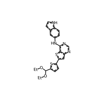 CCOC(OCC)c1ccc(-c2cc3ncnc(Nc4ccc5[nH]ccc5c4)c3s2)s1